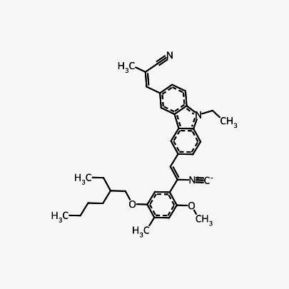 [C-]#[N+]/C(=C\c1ccc2c(c1)c1cc(/C=C(/C)C#N)ccc1n2CC)c1cc(OCC(CC)CCCC)c(C)cc1OC